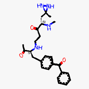 CN[C@@H](CC1(C)NN1)C(=O)CCN[C@@H](Cc1ccc(C(=O)c2ccccc2)cc1)C(C)=O